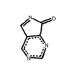 O=C1N=Cc2cncnc21